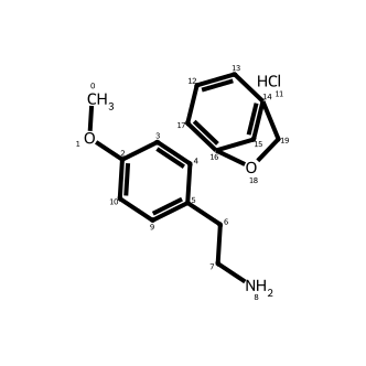 COc1ccc(CCN)cc1.Cl.c1cc2cc(c1)OC2